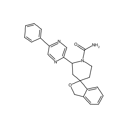 NC(=O)N1CCC2(CC1c1cnc(-c3ccccc3)cn1)OCc1ccccc12